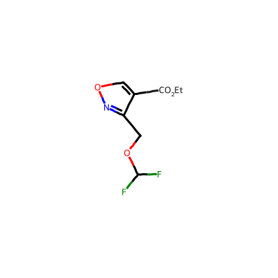 CCOC(=O)c1conc1COC(F)F